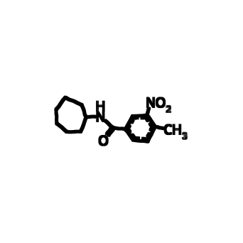 Cc1ccc(C(=O)NC2CCCCCC2)cc1[N+](=O)[O-]